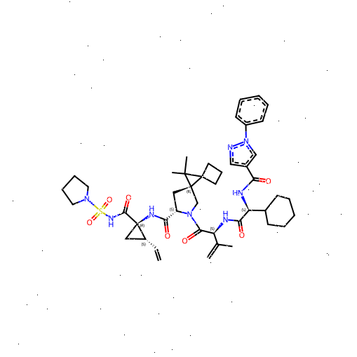 C=C[C@@H]1C[C@]1(NC(=O)[C@@H]1C[C@@]2(CN1C(=O)[C@@H](NC(=O)[C@@H](NC(=O)c1cnn(-c3ccccc3)c1)C1CCCCC1)C(=C)C)C(C)(C)C21CCC1)C(=O)NS(=O)(=O)N1CCCC1